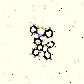 C1=Cc2c(c3ccccc3c3c4cc(N5c6ccccc6Sc6ccccc65)ccc4c4ccccc4c23)CC1